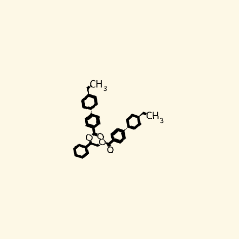 CC[C@H]1CC[C@H](c2ccc(C(=O)OCC(OC(=O)c3ccc([C@H]4CC[C@H](CC)CC4)cc3)C3CCCCC3)cc2)CC1